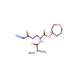 CO[C@@H](C)C(=O)N[C@@H](CCC(=O)C=[N+]=[N-])C(=O)O[C@@H]1CCCOCC1